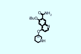 CC(C)COc1cc2c(O[C@@H]3CCCNC3)ccnc2cc1C(N)=O